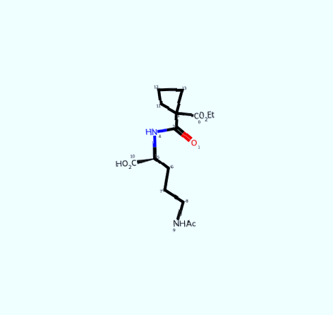 CCOC(=O)C1(C(=O)N[C@@H](CCCNC(C)=O)C(=O)O)CCC1